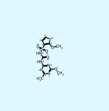 COc1nc(C)nc(NC(=O)NS(=O)(=O)c2ccsc2OC)n1